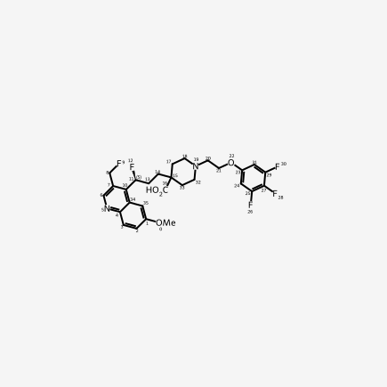 COc1ccc2ncc(CF)c([C@@H](F)CCC3(C(=O)O)CCN(CCOc4cc(F)c(F)c(F)c4)CC3)c2c1